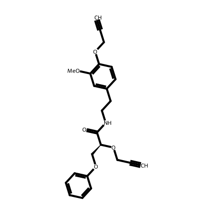 C#CCOc1ccc(CCNC(=O)[C@H](COc2ccccc2)OCC#C)cc1OC